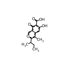 CCC(C)c1occ2c(=O)c(C(=O)O)c(O)cc-2c1C